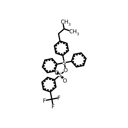 CC(C)Cc1ccc(S(OS(=O)(=O)c2cccc(C(F)(F)F)c2)(c2ccccc2)c2ccccc2)cc1